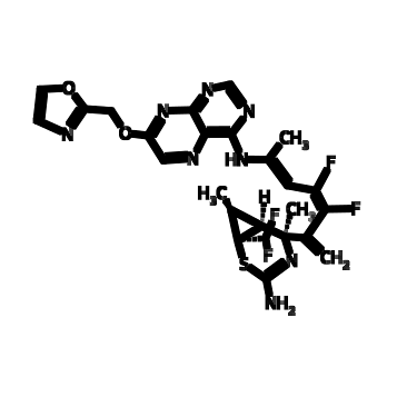 C=C(/C(F)=C(F)\C=C(/C)Nc1ncnc2nc(OCc3ncco3)cnc12)[C@@]1(C)N=C(N)S[C@]2(C(F)F)[C@H]1[C@@H]2C